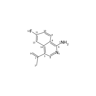 C=C(C)c1cnc(N)c2ccc(F)cc12